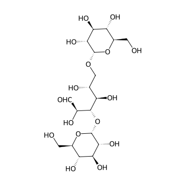 O=C[C@H](O)[C@@H](O[C@H]1O[C@H](CO)[C@@H](O)[C@H](O)[C@H]1O)[C@H](O)[C@H](O)CO[C@H]1O[C@H](CO)[C@@H](O)[C@H](O)[C@H]1O